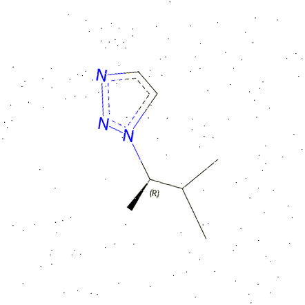 CC(C)[C@@H](C)n1ccnn1